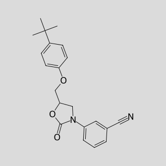 CC(C)(C)c1ccc(OCC2CN(c3cccc(C#N)c3)C(=O)O2)cc1